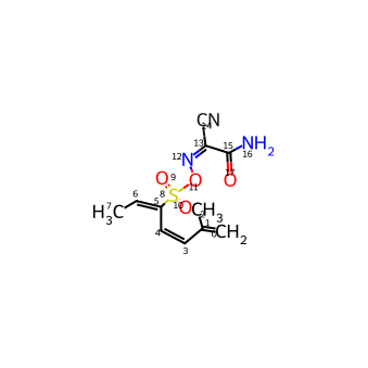 C=C(C)/C=C\C(=C/C)S(=O)(=O)O/N=C(/C#N)C(N)=O